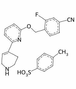 Cc1ccc(S(=O)(=O)O)cc1.N#Cc1ccc(COc2cccc(C3=CCNCC3)n2)c(F)c1